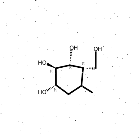 CC1C[C@H](O)[C@@H](O)[C@H](O)[C@@H]1CO